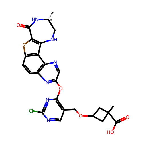 C[C@@H]1CNc2c(sc3ccc4nc(Oc5nc(Cl)ncc5COC5CC(C)(C(=O)O)C5)cnc4c23)C(=O)N1